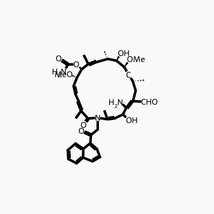 CO[C@H]1/C=C\C=C(/C)C(=O)N(CC(=O)c2cccc3ccccc23)/C(C)=C/C(O)/C(N)=C(\C=O)C[C@@H](C)C[C@H](OC)[C@H](O)[C@@H](C)/C=C(\C)[C@@H]1OC(N)=O